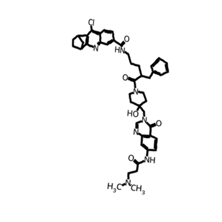 CN(C)CCC(=O)Nc1ccc2c(=O)n(CC3(O)CCN(C(=O)C(CCCNC(=O)c4ccc5c(Cl)c6c(nc5c4)C4CCC6C4)Cc4ccccc4)CC3)cnc2c1